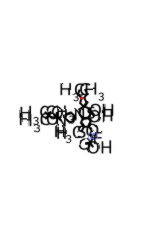 CCCCC1(CCCC)CN(c2ccc(NC(=O)OC(C)(C)C)cc2)c2cc(SC)c(O/C=C(\F)C(=O)O)cc2S(O)(O)C1